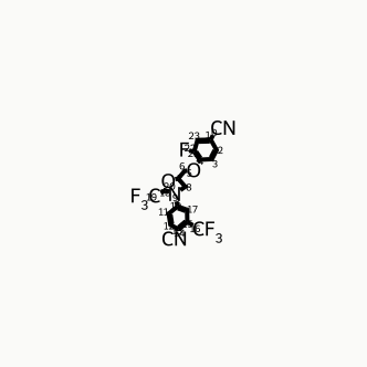 N#Cc1ccc(OCC2CN(c3ccc(C#N)c(C(F)(F)F)c3)C(C(F)(F)F)O2)c(F)c1